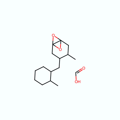 CC1CCCCC1CC1CC23OC2(CC1C)O3.O=CO